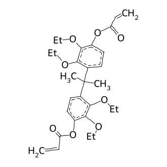 C=CC(=O)Oc1ccc(C(C)(C)c2ccc(OC(=O)C=C)c(OCC)c2OCC)c(OCC)c1OCC